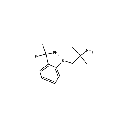 CC(C)(N)CSc1ccccc1C(C)(F)P